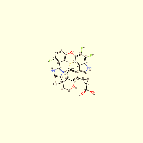 CSc1c(Oc2ccc(F)c(-c3nc([C@@]4(C)CCOc5c([C@H]6C[C@H]6C(=O)O)cccc54)c[nH]3)c2)c(F)c(F)c2[nH]ccc12